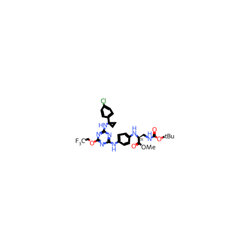 COC(=O)[C@H](CNC(=O)OC(C)(C)C)Nc1ccc(Nc2nc(NC3(c4ccc(Cl)cc4)CC3)nc(OCC(F)(F)F)n2)cc1